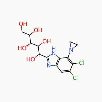 OCC(O)[C@H](O)C(O)C(O)c1nc2cc(Cl)c(Cl)c(N3CC3)c2[nH]1